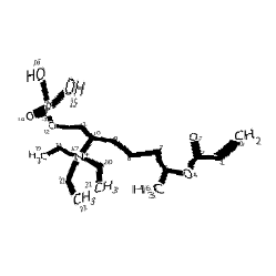 C=CC(=O)OC(C)CCCC(COP(=O)(O)O)[N+](CC)(CC)CC